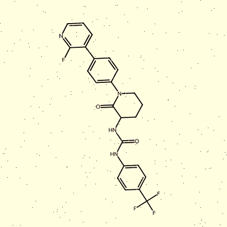 O=C(Nc1ccc(C(F)(F)F)cc1)NC1CCCN(c2ccc(-c3cccnc3F)cc2)C1=O